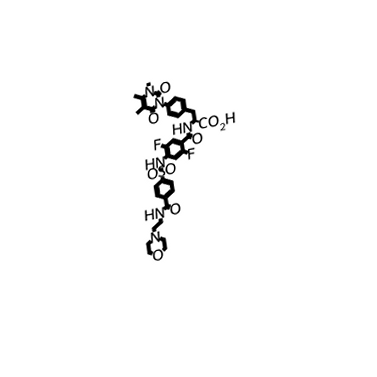 Cc1c(C)n(C)c(=O)n(-c2ccc(C[C@H](NC(=O)c3cc(F)c(NS(=O)(=O)c4ccc(C(=O)NCCN5CCOCC5)cc4)cc3F)C(=O)O)cc2)c1=O